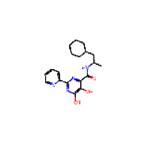 CC(CC1CCCCC1)NC(=O)c1nc(-c2ccccn2)nc(O)c1O